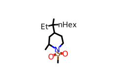 CCCCCCC(C)(CC)C1CCN(S(C)(=O)=O)C(C)C1